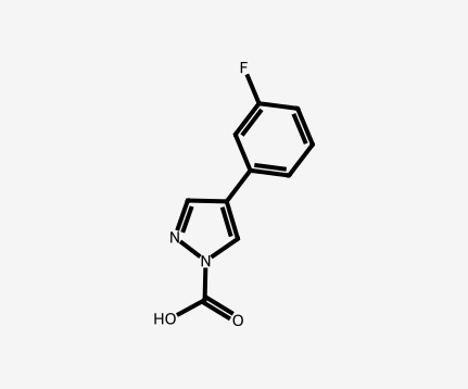 O=C(O)n1cc(-c2cccc(F)c2)cn1